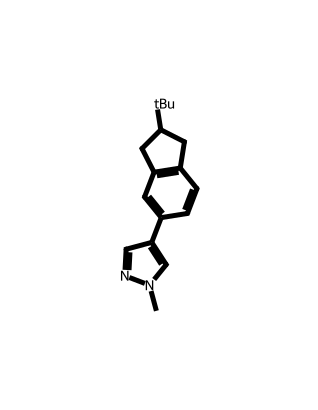 Cn1cc(-c2ccc3c(c2)CC(C(C)(C)C)C3)cn1